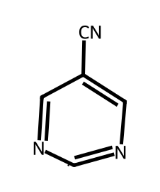 N#Cc1cn[c]nc1